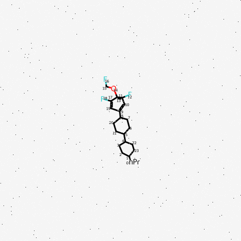 CCCC1CCC(C2CCC(c3cc(F)c(OCF)c(F)c3)CC2)CC1